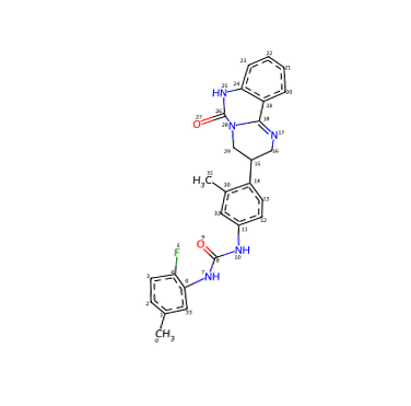 Cc1ccc(F)c(NC(=O)Nc2ccc(C3CN=C4c5ccccc5NC(=O)N4C3)c(C)c2)c1